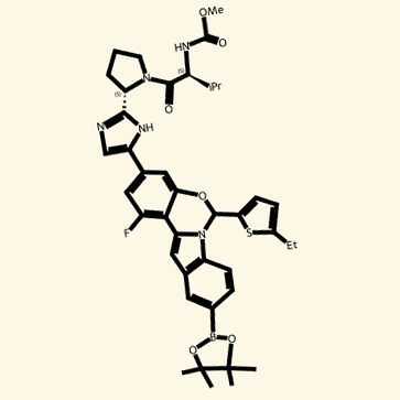 CCc1ccc(C2Oc3cc(-c4cnc([C@@H]5CCCN5C(=O)[C@@H](NC(=O)OC)C(C)C)[nH]4)cc(F)c3-c3cc4cc(B5OC(C)(C)C(C)(C)O5)ccc4n32)s1